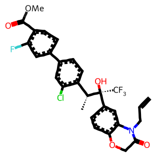 C=CCN1C(=O)COc2ccc([C@](O)([C@H](C)c3ccc(-c4ccc(C(=O)OC)c(F)c4)cc3Cl)C(F)(F)F)cc21